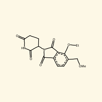 CCOc1c(COC)ccc2c1C(=O)N(C1CCC(=O)NC1=O)C2=O